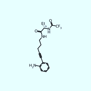 CC[C@H](NC(=O)C(F)(F)F)C(=O)NCCCC#Cc1ccccc1N